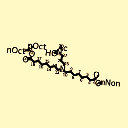 CCCCCCCCCOC(=O)CCCCCCCN(CCCCCCCC(=O)OC(CCCCCCCC)CCCCCCCC)CCCN(O)C(C)=O